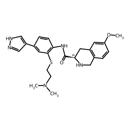 COc1ccc2c(c1)C[C@H](C(=O)Nc1ccc(-c3cn[nH]c3)cc1SCCN(C)C)NC2